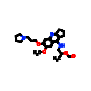 COc1cc2c(NCC(C)OC=O)c3c(nc2cc1OCCCN1CCCC1)CCC3